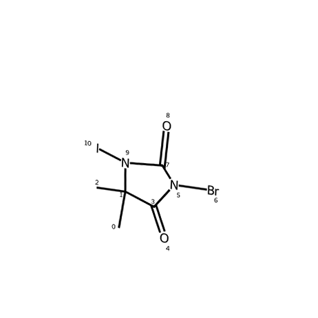 CC1(C)C(=O)N(Br)C(=O)N1I